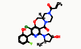 C=CC(=O)N1CCN2C(=O)c3c(N4C[C@@H](O)C[C@@H]4C)nc(-c4c(O)cccc4F)c(Cl)c3OC[C@H]2C1